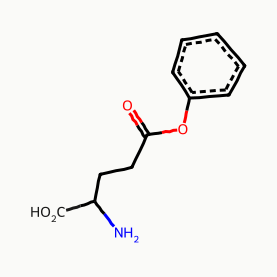 NC(CCC(=O)Oc1ccccc1)C(=O)O